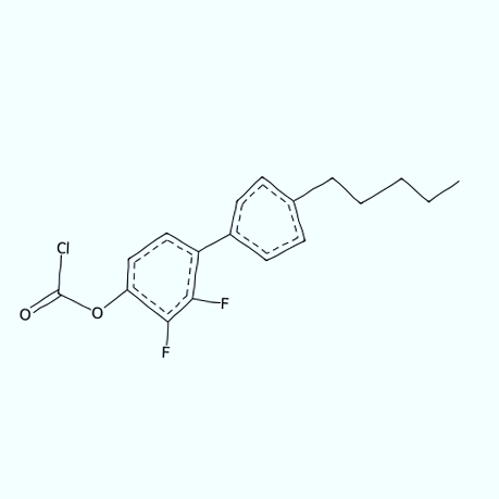 CCCCCc1ccc(-c2ccc(OC(=O)Cl)c(F)c2F)cc1